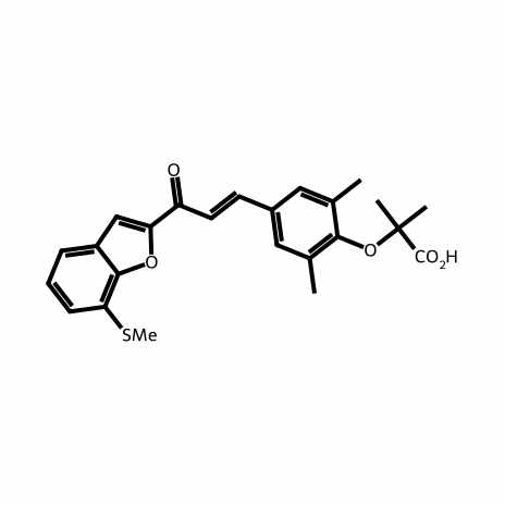 CSc1cccc2cc(C(=O)C=Cc3cc(C)c(OC(C)(C)C(=O)O)c(C)c3)oc12